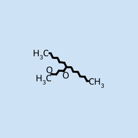 CCCCCCCC(CCCCCC)C(=O)CCC(C)=O